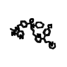 Cc1nc2cnccc2n1Cc1ccc(C(=O)N(C=CCc2cccc(C(=CCN3CCCC3)c3ccc(Cl)cc3)n2)C2CCCCC2)cc1